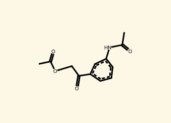 CC(=O)Nc1cccc(C(=O)COC(C)=O)c1